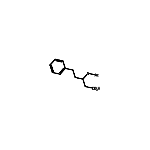 CC(=O)SC(CCc1ccccc1)CC(=O)O